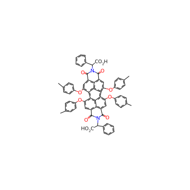 Cc1ccc(Oc2cc3c4c(cc(Oc5ccc(C)cc5)c5c6c(Oc7ccc(C)cc7)cc7c8c(cc(Oc9ccc(C)cc9)c(c2c45)c86)C(=O)N(C(C(=O)O)c2ccccc2)C7=O)C(=O)N(C(C(=O)O)c2ccccc2)C3=O)cc1